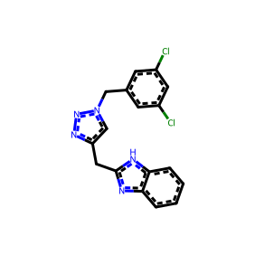 Clc1cc(Cl)cc(Cn2cc(Cc3nc4ccccc4[nH]3)nn2)c1